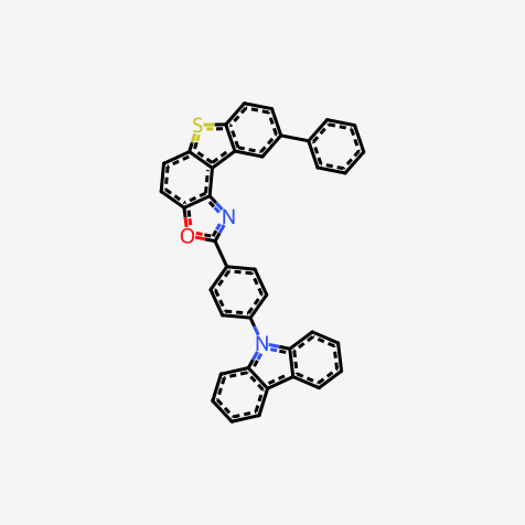 c1ccc(-c2ccc3sc4ccc5oc(-c6ccc(-n7c8ccccc8c8ccccc87)cc6)nc5c4c3c2)cc1